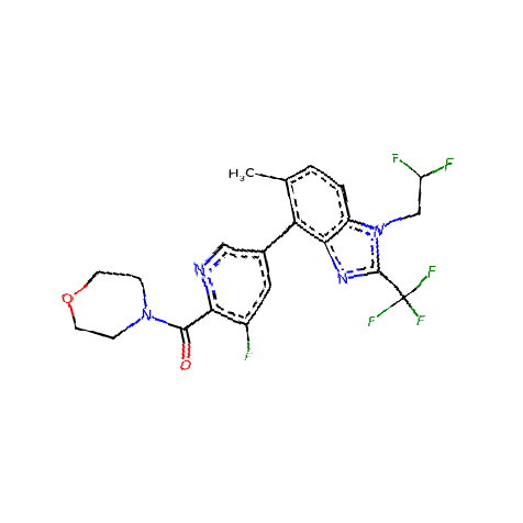 Cc1ccc2c(nc(C(F)(F)F)n2CC(F)F)c1-c1cnc(C(=O)N2CCOCC2)c(F)c1